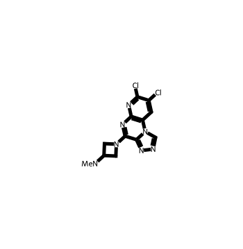 CNC1CN(c2nc3nc(Cl)c(Cl)cc3n3cnnc23)C1